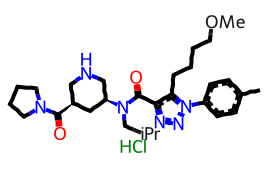 COCCCCc1c(C(=O)N(CC(C)C)[C@@H]2CNC[C@H](C(=O)N3CCCC3)C2)nnn1-c1ccc(C)cc1.Cl